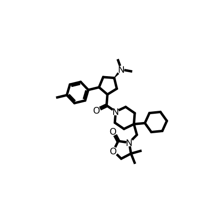 Cc1ccc(C2C[C@@H](N(C)C)CC2C(=O)N2CCC(CN3C(=O)OCC3(C)C)(C3CCCCC3)CC2)cc1